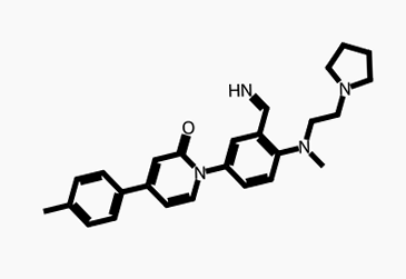 Cc1ccc(-c2ccn(-c3ccc(N(C)CCN4CCCC4)c(C=N)c3)c(=O)c2)cc1